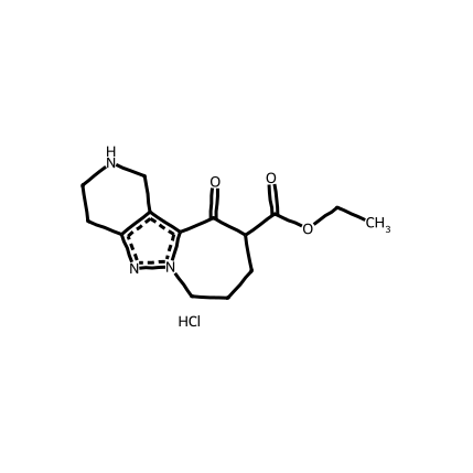 CCOC(=O)C1CCCn2nc3c(c2C1=O)CNCC3.Cl